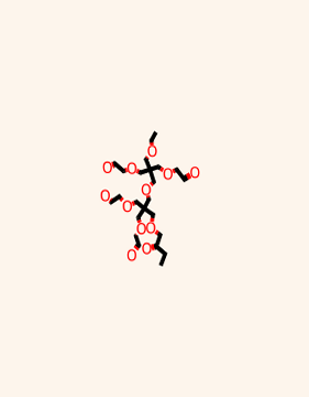 CCOCC(COCC=O)(COCC=O)COCC(COCC=O)(COCC=O)COCC(=O)CC